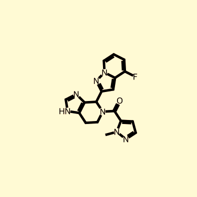 Cn1nccc1C(=O)N1CCc2[nH]cnc2C1c1cc2c(F)cccn2n1